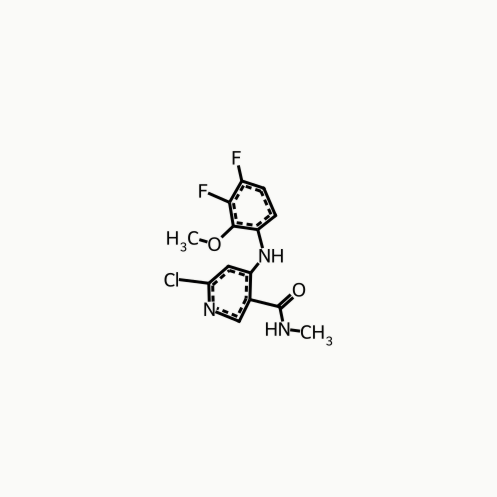 CNC(=O)c1cnc(Cl)cc1Nc1ccc(F)c(F)c1OC